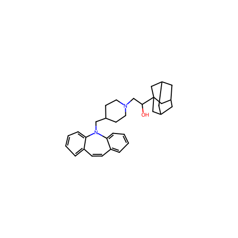 OC(CN1CCC(CN2c3ccccc3C=Cc3ccccc32)CC1)C12CC3CC(CC(C3)C1)C2